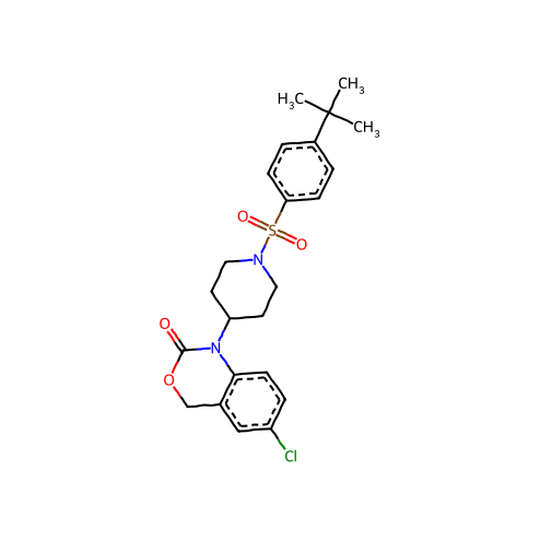 CC(C)(C)c1ccc(S(=O)(=O)N2CCC(N3C(=O)OCc4cc(Cl)ccc43)CC2)cc1